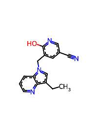 CCc1cn(Cc2cc(C#N)cnc2O)c2cccnc12